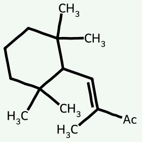 CC(=O)C(C)=CC1C(C)(C)CCCC1(C)C